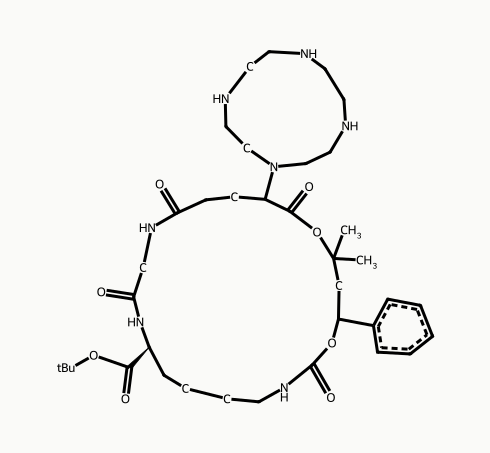 CC(C)(C)OC(=O)[C@@H]1CCCCNC(=O)OC(c2ccccc2)CC(C)(C)OC(=O)C(N2CCNCCNCCNCC2)CCC(=O)NCC(=O)N1